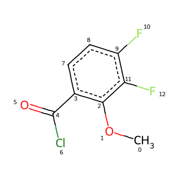 COc1c(C(=O)Cl)ccc(F)c1F